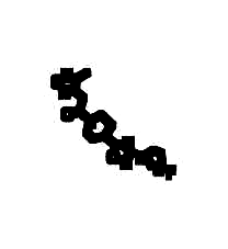 Cc1nonc1CC(=O)N1CCC(c2nc([C@@H]3CC[C@H](F)C3)no2)CC1